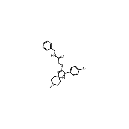 CN1CCC2(CC1)N=C(SCC(=O)NCc1ccccc1)C(c1ccc(Br)cc1)=N2